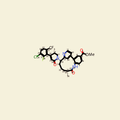 COC(=O)c1ccc2c(c1)-c1ccnc(c1)[C@@H](N1CCC(c3c(C(F)(F)F)ccc(Cl)c3F)=CC1=O)CCC[C@@H](C)C(=O)N2